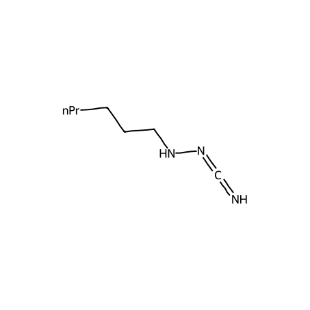 CCCCCCNN=C=N